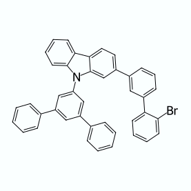 Brc1ccccc1-c1cccc(-c2ccc3c4ccccc4n(-c4cc(-c5ccccc5)cc(-c5ccccc5)c4)c3c2)c1